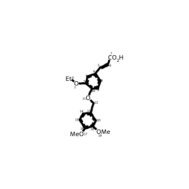 CCOc1cc(/C=C/C(=O)O)ccc1OCc1ccc(OC)c(OC)c1